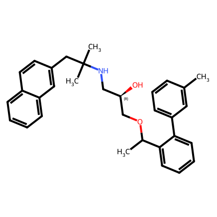 Cc1cccc(-c2ccccc2C(C)OC[C@H](O)CNC(C)(C)Cc2ccc3ccccc3c2)c1